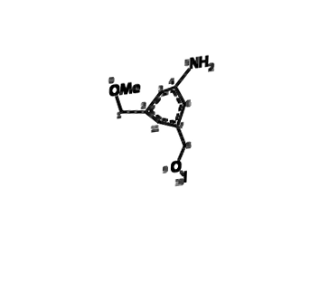 COCc1cc(N)cc(COI)c1